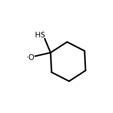 [O]C1(S)CCCCC1